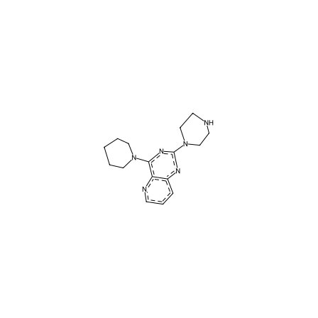 c1cnc2c(N3CCCCC3)nc(N3CCNCC3)nc2c1